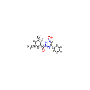 O=C(NN=C(C=NO)c1ccccc1)c1cc(C(F)(F)F)cc(C(F)(F)F)c1